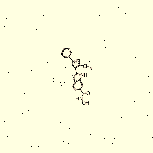 Cc1nn(-c2ccccc2)cc1-c1nc2ccc(C(=O)NO)cc2[nH]1